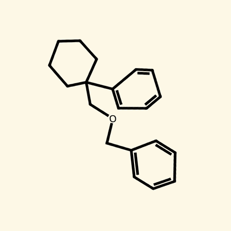 c1ccc(COCC2(c3ccccc3)CCCCC2)cc1